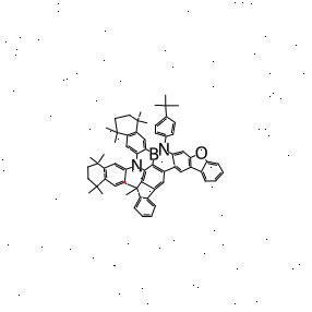 CC(C)(C)c1ccc(N2B3c4cc5c(cc4N(c4ccc6c(c4)C(C)(C)CCC6(C)C)c4c3c(cc3c4C(C)(C)c4ccccc4-3)-c3cc4c(cc32)oc2ccccc24)C(C)(C)CCC5(C)C)cc1